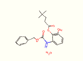 CC(C)(C)CCC(=O)Oc1c(O)cccc1NC(=O)OCc1ccccc1.O